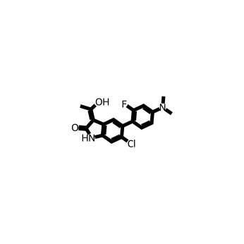 C/C(O)=C1\C(=O)Nc2cc(Cl)c(-c3ccc(N(C)C)cc3F)cc21